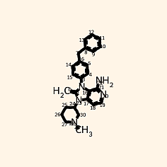 C=C1N(c2ccc(Cc3ccccc3)cc2)c2c(ccnc2N)N1C1CCCN(C)C1